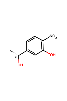 C[C@@H](O)c1ccc([N+](=O)[O-])c(O)c1